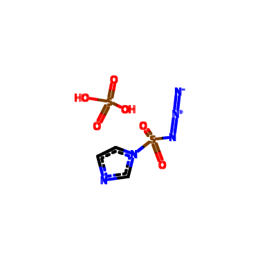 O=S(=O)(O)O.[N-]=[N+]=NS(=O)(=O)n1ccnc1